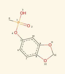 CP(=O)(O)Oc1ccc2c(c1)OCO2